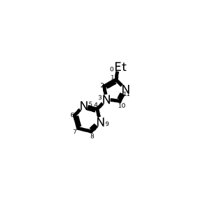 [CH2]Cc1cn(-c2ncccn2)cn1